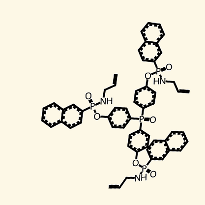 C=CCNP(=O)(Oc1ccc(P(=O)(c2ccc(OP(=O)(NCC=C)c3ccc4ccccc4c3)cc2)c2ccc(OP(=O)(NCC=C)c3ccc4ccccc4c3)cc2)cc1)c1ccc2ccccc2c1